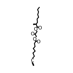 C=CCCCCCCCCC(=O)OCC(=O)COC(=O)C(=C)CCCCCCC